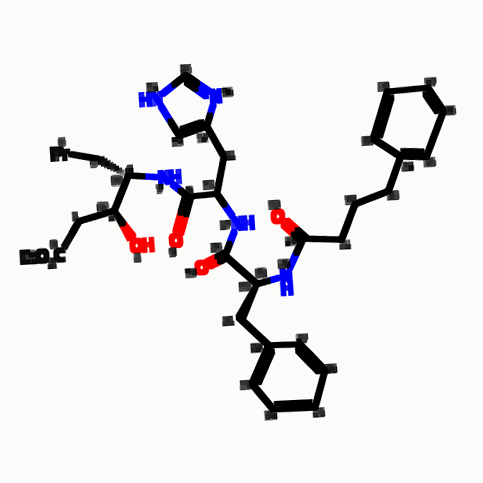 CCOC(=O)C[C@H](O)[C@H](CC(C)C)NC(=O)C(Cc1c[nH]cn1)NC(=O)[C@H](Cc1ccccc1)NC(=O)CCCc1ccccc1